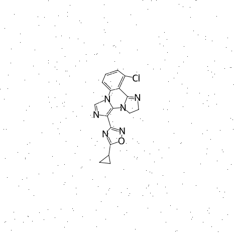 Clc1cccc2c1C1=NCCN1c1c(-c3noc(C4CC4)n3)ncn1-2